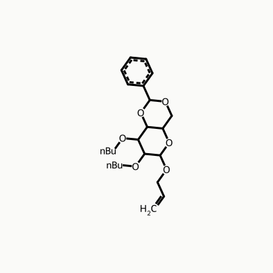 C=CCOC1OC2COC(c3ccccc3)OC2C(OCCCC)C1OCCCC